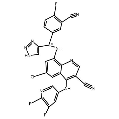 N#Cc1cc([C@H](Nc2cc(Cl)cc3c(Nc4cnc(F)c(F)c4)c(C#N)cnc23)c2c[nH]nn2)ccc1F